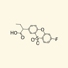 CCC(C(=O)O)c1ccc2c(c1)S(=O)(=O)c1ccc(F)cc1O2